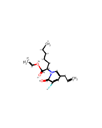 C=CCc1cc(F)c(=O)n(C(CCCCC)C(=O)OCC)c1